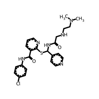 CN(C)CCNCC(=O)NC(Sc1ncccc1C(=O)Nc1ccc(Cl)cc1)c1ccncc1